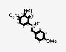 COc1ccc(C[S+]([O-])c2ccc([N+](=O)[O-])c3nonc23)cc1